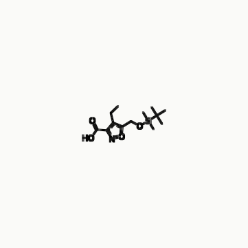 CCc1c(C(=O)O)noc1CO[Si](C)(C)C(C)(C)C